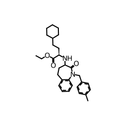 CCOC(=O)[C@@H](CCC1CCCCC1)NC1CCc2ccccc2N(Cc2ccc(C)cc2)C1=O